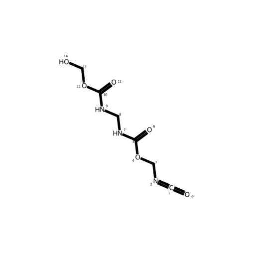 O=C=NCOC(=O)NCNC(=O)OCO